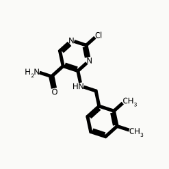 Cc1cccc(CNc2nc(Cl)ncc2C(N)=O)c1C